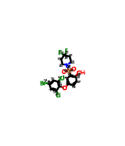 O=S(=O)(c1cc(Oc2c(Cl)cc(Br)cc2Cl)ccc1O)N1CCC(F)(F)CC1